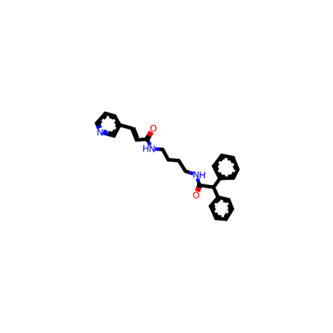 O=C(C=Cc1cccnc1)NCCCCNC(=O)C(c1ccccc1)c1ccccc1